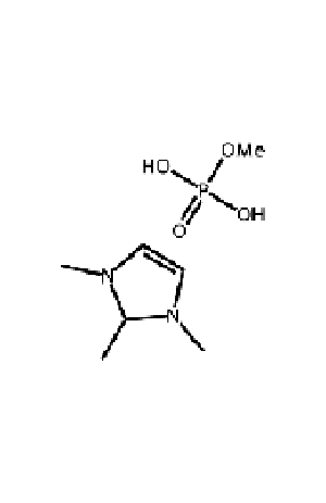 CC1N(C)C=CN1C.COP(=O)(O)O